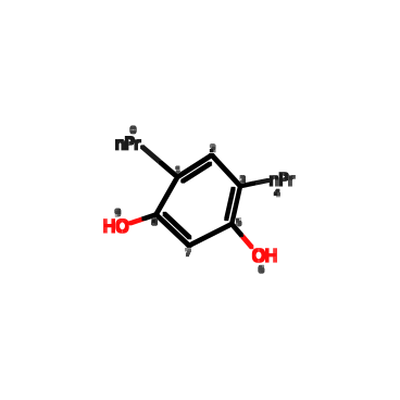 CCCc1cc(CCC)c(O)cc1O